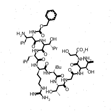 C=C(N)[C@@H](O)C(NC(=O)CNC(=O)[C@@H](NC(=O)[C@@H](NC(=O)[C@@H](CCCNC(=N)N)NC(=O)[C@H](CC(C)C)NC(=O)C(NC(=O)[C@@H](NC(=O)OCc1ccccc1)[C@H](N)C(C)C)[C@H](O)C(C)C)[C@@H](C)CC)[C@H](C)O)C(=O)N[C@@H](CO)C(=O)O